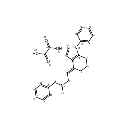 CN(C/C=C1\CCCc2c1cnn2-c1ccccc1)Cc1ccccc1.O=C(O)C(=O)O